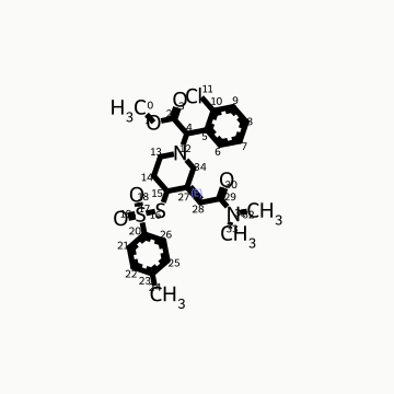 COC(=O)C(c1ccccc1Cl)N1CCC(SS(=O)(=O)c2ccc(C)cc2)/C(=C/C(=O)N(C)C)C1